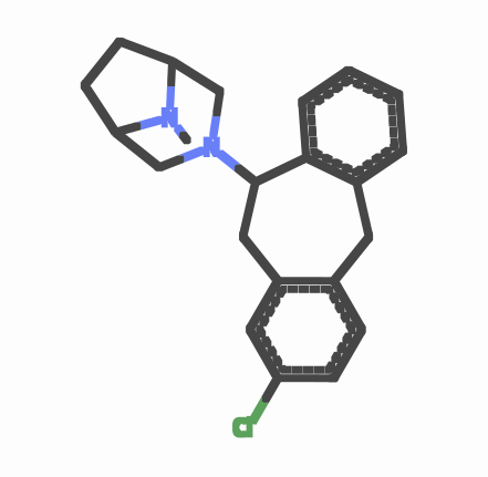 CN1C2CCC1CN(C1Cc3cc(Cl)ccc3Cc3ccccc31)C2